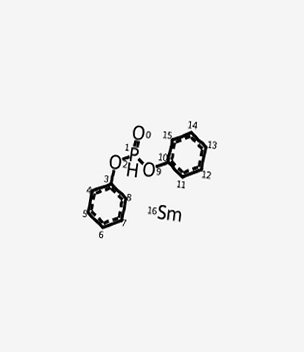 O=[PH](Oc1ccccc1)Oc1ccccc1.[Sm]